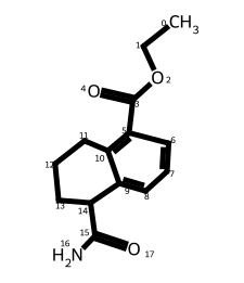 CCOC(=O)c1cccc2c1CCCC2C(N)=O